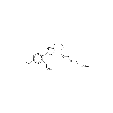 CNCc1cc(N(C)C)ccc1-c1nc2c(s1)C(OCOCCOC)CCC2